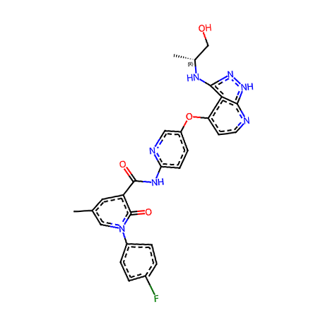 Cc1cc(C(=O)Nc2ccc(Oc3ccnc4[nH]nc(N[C@H](C)CO)c34)cn2)c(=O)n(-c2ccc(F)cc2)c1